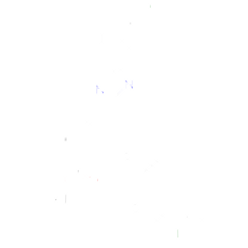 COC(=O)c1ccc(Cn2cc(-c3ccc(Cl)cc3Cl)nc2C=Cc2ccc(-c3cccc(C(F)(F)F)c3)cc2)cc1